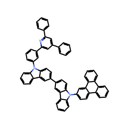 c1ccc(-c2cc(-c3ccccc3)nc(-c3cccc(-n4c5ccccc5c5cc(-c6ccc7c(c6)c6ccccc6n7-c6ccc7c8ccccc8c8ccccc8c7c6)ccc54)c3)c2)cc1